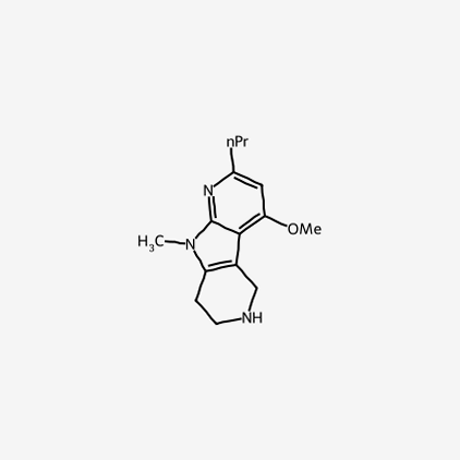 CCCc1cc(OC)c2c3c(n(C)c2n1)CCNC3